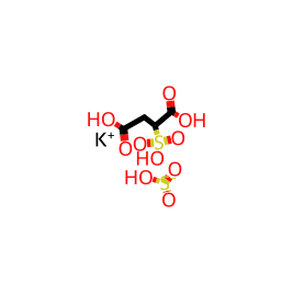 O=C(O)CC(C(=O)O)S(=O)(=O)O.O=[S-](=O)O.[K+]